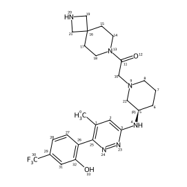 Cc1cc(N[C@@H]2CCCN(CC(=O)N3CCC4(CC3)CNC4)C2)nnc1-c1ccc(C(F)(F)F)cc1O